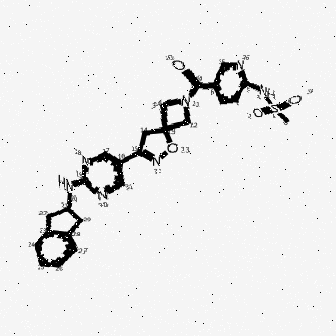 CS(=O)(=O)Nc1ccc(C(=O)N2CC3(CC(c4cnc(NC5Cc6ccccc6C5)nc4)=NO3)C2)cn1